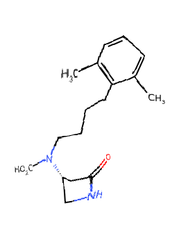 Cc1cccc(C)c1CCCCN(C(=O)O)[C@H]1CNC1=O